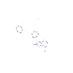 COc1cccc(F)c1COc1cc(-n2c(=O)[nH]c3c(C(C)=O)nc(CO)nc32)c(Cl)cc1OCCO